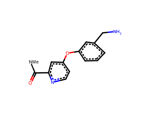 CNC(=O)c1cc(Oc2cccc(CN)c2)ccn1